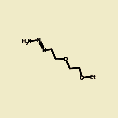 CCOCCOCCN=NN